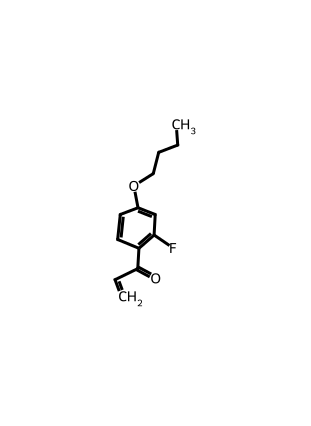 C=CC(=O)c1ccc(OCCCC)cc1F